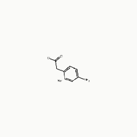 Nc1ccc(CC(=O)[O-])cc1.[Na+]